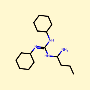 CCCC(N)NC(=NC1CCCCC1)NC1CCCCC1